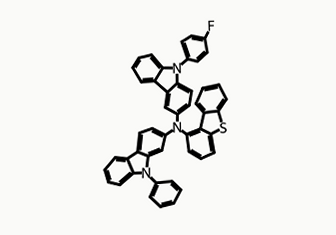 Fc1ccc(-n2c3ccccc3c3cc(N(c4ccc5c6ccccc6n(-c6ccccc6)c5c4)c4cccc5sc6ccccc6c45)ccc32)cc1